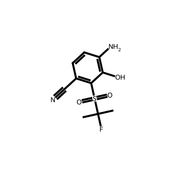 CC(C)(F)S(=O)(=O)c1c(C#N)ccc(N)c1O